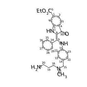 CCOC(=O)c1ccc2c(c1)NC(=C(Nc1ccc(CN(C)CCCN)cc1)c1ccccc1)C2=O